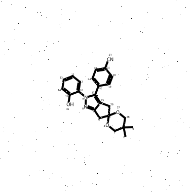 CC1(C)COC2(Cc3nn(-c4ccccc4O)c(-c4c#cc(C#N)cc4)c3C2)OC1